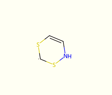 [CH]1SC=CNS1